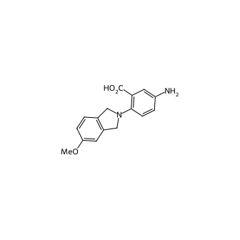 COc1ccc2c(c1)CN(c1ccc(N)cc1C(=O)O)C2